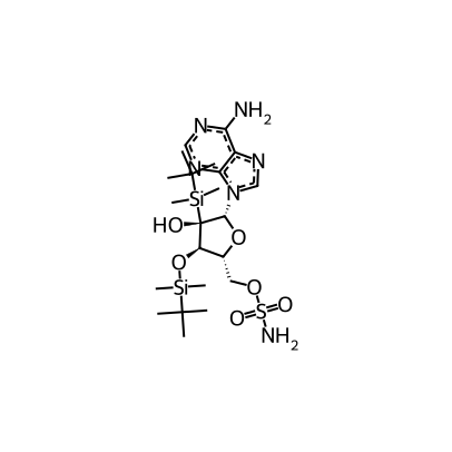 CC(C)(C)[Si](C)(C)O[C@@H]1[C@@H](COS(N)(=O)=O)O[C@@H](n2cnc3c(N)ncnc32)[C@@]1(O)[Si](C)(C)C(C)(C)C